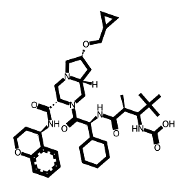 C[C@H](C(=O)N[C@H](C(=O)N1C[C@H]2C[C@@H](OCC3CC3)CN2C[C@H]1C(=O)N[C@@H]1CCOc2ccccc21)C1CCCCC1)C(NC(=O)O)C(C)(C)C